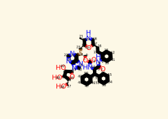 COC(=O)NC(C(=O)Nc1ccccc1CC[C@@H]1CN[C@H](C)[C@@H](CSc2ncnc3c2ncn3[C@@H]2O[C@H](CO)[C@@H](O)[C@H]2O)O1)C(c1ccccc1)c1ccccc1